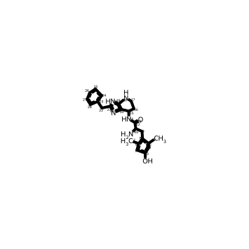 Cc1cc(O)cc(C)c1CC(N)C(=O)NC1CCNc2[nH]c(Cc3ccccc3)nc21